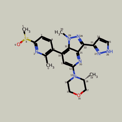 Cc1nc([S@+](C)[O-])ccc1-c1cc(N2CCOC[C@H]2C)nc2c(-c3cc[nH]n3)nn(C)c12